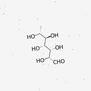 C[C@@H](O)[C@@H](O)[C@@H](O)[C@H](O)[C@@H](O)C=O